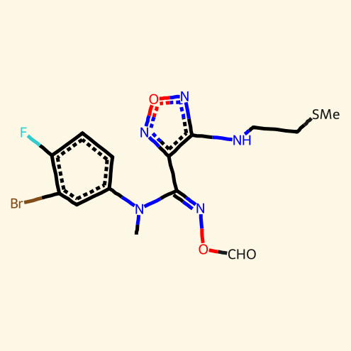 CSCCNc1nonc1/C(=N/OC=O)N(C)c1ccc(F)c(Br)c1